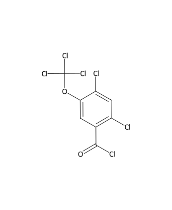 O=C(Cl)c1cc(OC(Cl)(Cl)Cl)c(Cl)cc1Cl